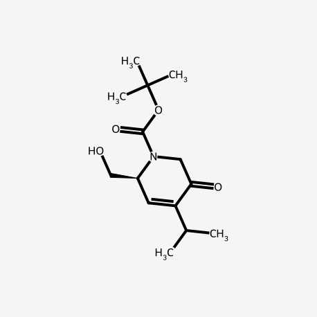 CC(C)C1=C[C@@H](CO)N(C(=O)OC(C)(C)C)CC1=O